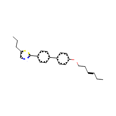 CCC=CCCOc1ccc(-c2ccc(-c3ncc(CCC)s3)cc2)cc1